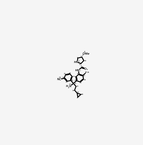 CO[C@H]1CN[C@@H](C(=O)Nc2cc(C(N)(CCC3CC3)c3cccc(C#N)c3)ccc2F)C1